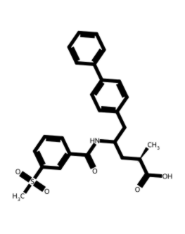 C[C@H](CC(Cc1ccc(-c2ccccc2)cc1)NC(=O)c1cccc(S(C)(=O)=O)c1)C(=O)O